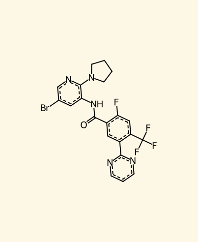 O=C(Nc1cc(Br)cnc1N1CCCC1)c1cc(-c2ncccn2)c(C(F)(F)F)cc1F